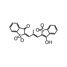 CC(=C\C1=C(O)c2ccccc2S1(=O)=O)/C=C1\C(=O)c2ccccc2S1(=O)=O